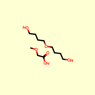 COCC(=O)O.OCCCCOCCCCO